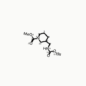 COC(=O)N1CCCC(CNC(=O)OC(C)(C)C)C1